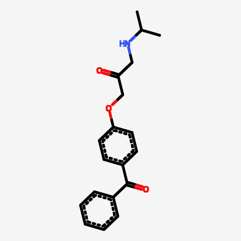 CC(C)NCC(=O)COc1ccc(C(=O)c2ccccc2)cc1